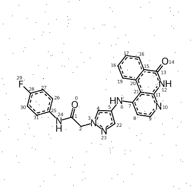 O=C(Cn1cc(Nc2ccnc3[nH]c(=O)c4ccccc4c23)cn1)Nc1ccc(F)cc1